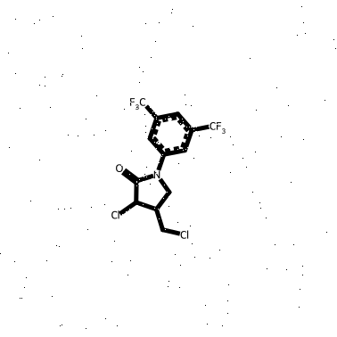 O=C1C(Cl)C(CCl)CN1c1cc(C(F)(F)F)cc(C(F)(F)F)c1